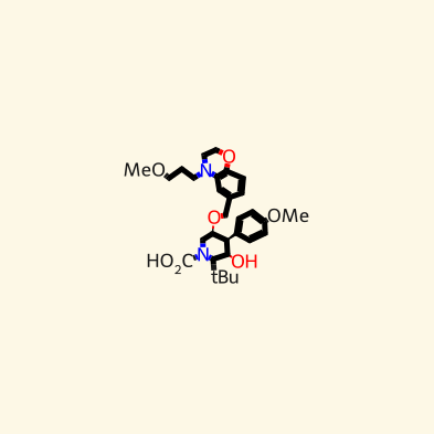 COCCCN1CCOc2ccc(CO[C@H]3CN(C(=O)O)C(C(C)(C)C)[C@@H](O)[C@@H]3c3ccc(OC)cc3)cc21